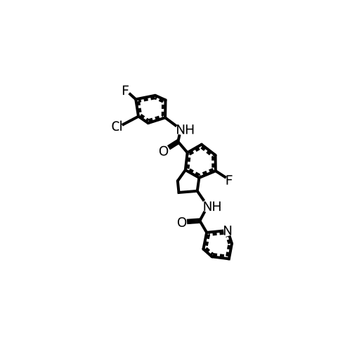 O=C(NC1CCc2c(C(=O)Nc3ccc(F)c(Cl)c3)ccc(F)c21)c1ccccn1